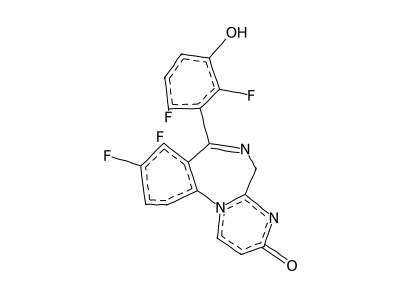 O=c1ccn2c(n1)CN=C(c1c(F)ccc(O)c1F)c1c-2ccc(F)c1F